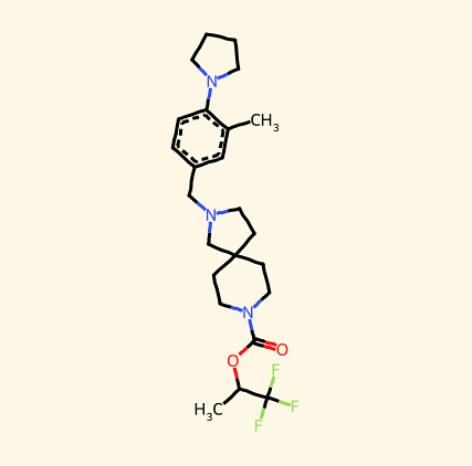 Cc1cc(CN2CCC3(CCN(C(=O)OC(C)C(F)(F)F)CC3)C2)ccc1N1CCCC1